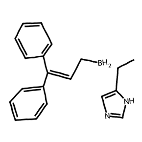 BCC=C(c1ccccc1)c1ccccc1.CCc1cnc[nH]1